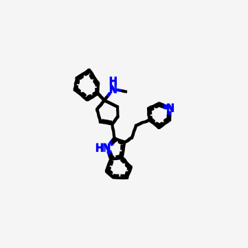 CNC1(c2ccccc2)CC=C(c2[nH]c3ccccc3c2CCc2ccncc2)CC1